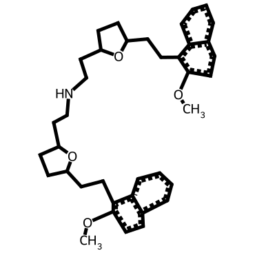 COc1ccc2ccccc2c1CCC1CCC(CCNCCC2CCC(CCc3c(OC)ccc4ccccc34)O2)O1